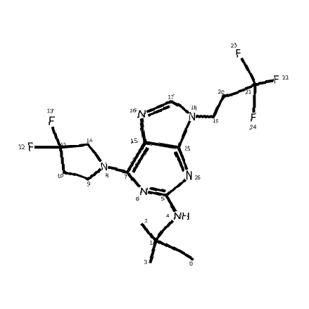 CC(C)(C)Nc1nc(N2CCC(F)(F)C2)c2ncn(CCC(F)(F)F)c2n1